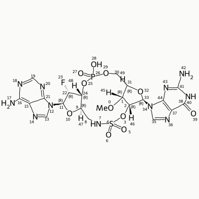 CO[C@H]1[C@H]2OS(=O)(=O)NC[C@H]3O[C@@H](n4cnc5c(N)ncnc54)[C@H](F)[C@@H]3OP(=O)(O)OC[C@H]1O[C@H]2n1cnc2c(=O)[nH]c(N)nc21